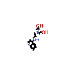 OCCN(CCO)CCCNc1ccnc2ccccc12